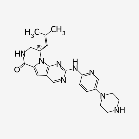 CC(C)=C[C@@H]1CNC(=O)c2cc3cnc(Nc4ccc(N5CCNCC5)cn4)nc3n21